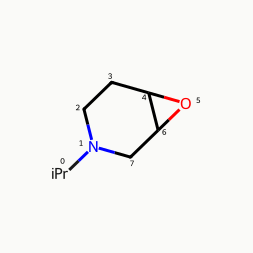 CC(C)N1CCC2OC2C1